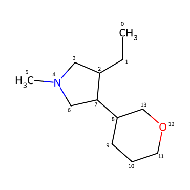 CCC1CN(C)CC1C1CCCOC1